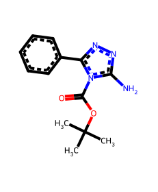 CC(C)(C)OC(=O)n1c(N)nnc1-c1ccccc1